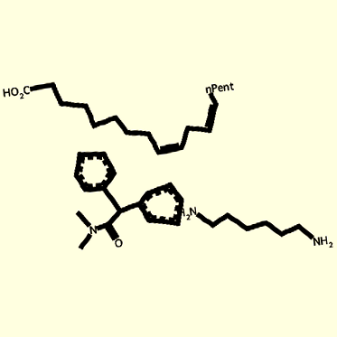 CCCCC/C=C\C/C=C\CCCCCCCC(=O)O.CN(C)C(=O)C(c1ccccc1)c1ccccc1.NCCCCCCN